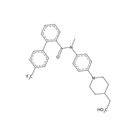 CN(C(=O)c1ccccc1-c1ccc(C(F)(F)F)cc1)c1ccc(N2CCC(CC(=O)O)CC2)cc1